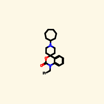 CC(C)CN1C(=O)OC2(CCN(C3CCCCCC3)CC2)c2ccccc21